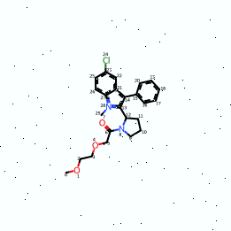 COCCOCC(=O)N1CCCC1c1c(-c2ccccc2)c2cc(Cl)ccc2n1C